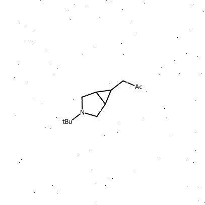 CC(=O)CC1C2CN(C(C)(C)C)CC12